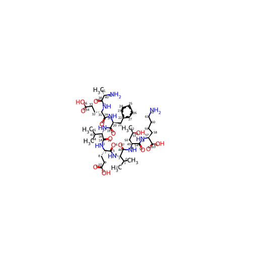 CC(C)[C@H](NC(=O)[C@H](CCC(=O)O)NC(=O)[C@@H](NC(=O)[C@H](Cc1ccccc1)NC(=O)[C@H](CCC(=O)O)NC(=O)[C@H](C)N)C(C)C)C(=O)N[C@@H](C[C@@H](C)O)C(=O)N[C@@H](CCCCN)C(=O)O